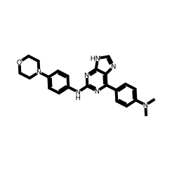 CN(C)c1ccc(-c2nc(Nc3ccc(N4CCOCC4)cc3)nc3[nH]cnc23)cc1